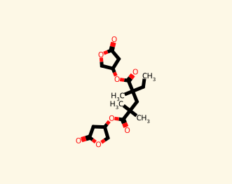 CCC(C)(CC(C)(C)C(=O)OC1COC(=O)C1)C(=O)OC1COC(=O)C1